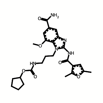 COc1cc(C(N)=O)cc2nc(NC(=O)c3cc(C)oc3C)n(CCCNC(=O)OC3CCCC3)c12